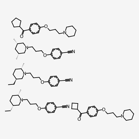 CC[C@@H]1CC[C@H](C)N(CCCOc2ccc(C#N)cc2)C1.CC[C@H]1CC[C@H](C)N(CCCOc2ccc(C#N)cc2)C1.C[C@@H]1C[C@H](C)CN(CCCOc2ccc(C#N)cc2)C1.O=C(c1ccc(OCCCN2CCCCC2)cc1)C1CCC1.O=C(c1ccc(OCCCN2CCCCC2)cc1)C1CCCC1